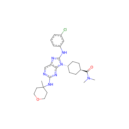 CN(C)C(=O)[C@H]1CC[C@H](n2c(Nc3cccc(Cl)c3)nc3cnc(NC4(C)CCOCC4)nc32)CC1